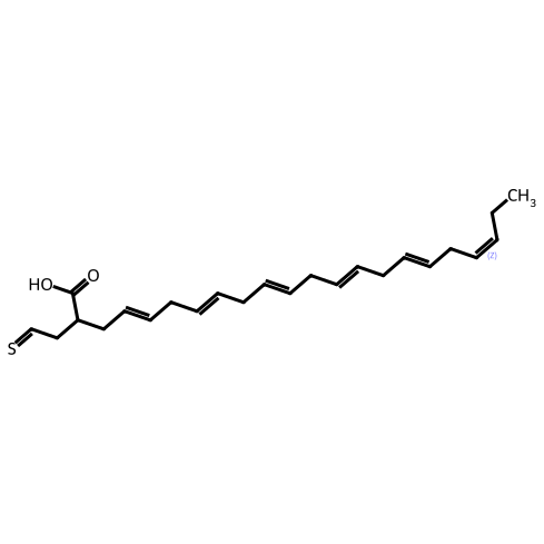 CC/C=C\CC=CCC=CCC=CCC=CCC=CCC(CC=S)C(=O)O